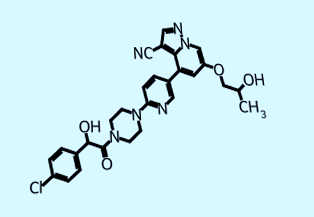 CC(O)COc1cc(-c2ccc(N3CCN(C(=O)C(O)c4ccc(Cl)cc4)CC3)nc2)c2c(C#N)cnn2c1